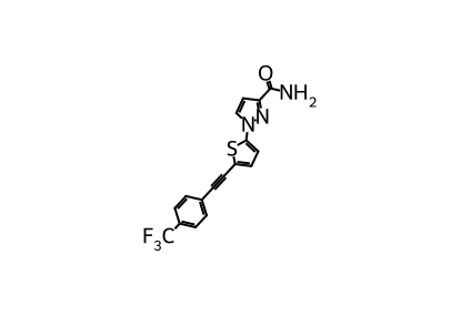 NC(=O)c1ccn(-c2ccc(C#Cc3ccc(C(F)(F)F)cc3)s2)n1